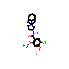 COc1cc(OC)c(C(=O)N[C@H]2CCN(C3C4CCCC3CCC4)C2)cc1Cl